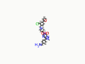 Cn1nc2c(=O)n(CC3(O)CCN(Cc4ccc(-c5ccco5)cc4Cl)CC3)cnc2c1-c1ccc(CN)cc1